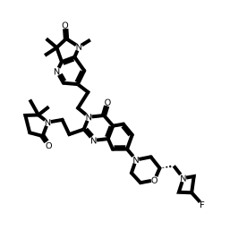 CN1C(=O)C(C)(C)c2ncc(CCn3c(CCN4C(=O)CCC4(C)C)nc4cc(N5CCO[C@@H](CN6CC(F)C6)C5)ccc4c3=O)cc21